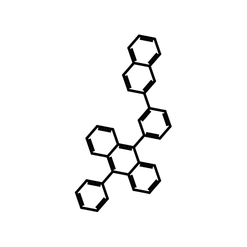 c1ccc(-c2c3ccccc3c(-c3cccc(-c4ccc5ccccc5c4)c3)c3ccccc23)cc1